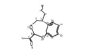 CCCC1COC(C(C)=O)Oc2ccccc21